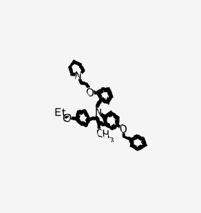 CCOc1ccc(-c2c(C)c3cc(OCc4ccccc4)ccc3n2Cc2ccccc2OCCN2CCCCC2)cc1